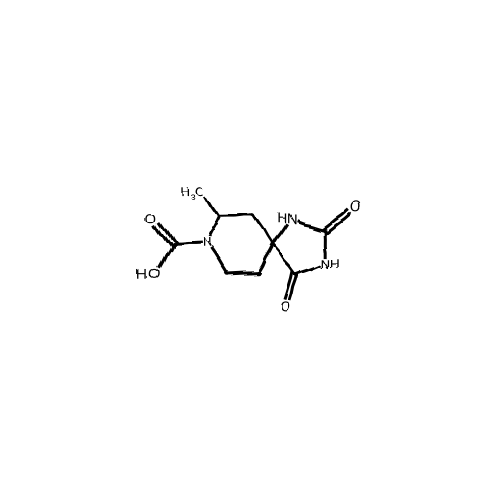 CC1CC2(CCN1C(=O)O)NC(=O)NC2=O